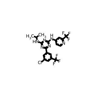 CC(C)Nc1nc(Nc2ccnc(C(F)(F)F)c2)nc(-c2cc(Cl)cc(C(F)(F)F)c2)n1